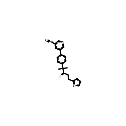 [C-]#[N+]c1cncc(-c2ccc(C(C)(C)C(=O)CCc3ccco3)cc2)c1